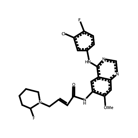 COc1cc2ncnc(Nc3ccc(F)c(Cl)c3)c2cc1NC(=O)C=CCN1CCCCC1F